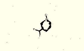 [O-][n+]1cccc(C(F)F)c1